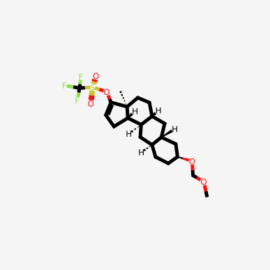 COCO[C@H]1CC[C@H]2C[C@@H]3[C@H](CC[C@]4(C)C(OS(=O)(=O)C(F)(F)F)=CC[C@@H]34)C[C@@H]2C1